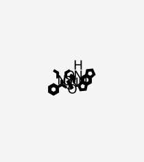 CCCN(CCC)C(CS(=O)(=O)NC(=O)Nc1c2c(cc3c1CCC3)CCC2)c1ccccc1